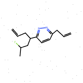 C=CCc1ccc(C(CC=C)CC(C)F)nn1